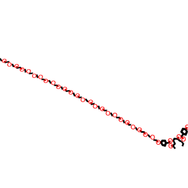 C=CC(=O)OCCOCCOCCOCCOCCOCCOCCOCCOCCOCCOCCOCCOCCOCCOCCOCCOCCOCCOCCOCCOCCOCCOCCOCCOCCOCCOc1ccc(C2OC(C)CC(CC3CC(CC)OC(c4ccc(O)cc4)O3)O2)cc1